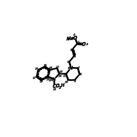 COC(=O)C=CCN1CCCCC1[C@@H]1Cc2ccccc2N1C(=O)O